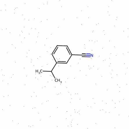 CC(C)c1[c]ccc(C#N)c1